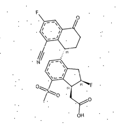 CS(=O)(=O)c1ccc([C@H]2CCC(=O)c3cc(F)cc(C#N)c32)c2c1[C@H](CC(=O)O)[C@H](F)C2